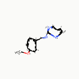 COc1ccc(CNc2ncccn2)cc1